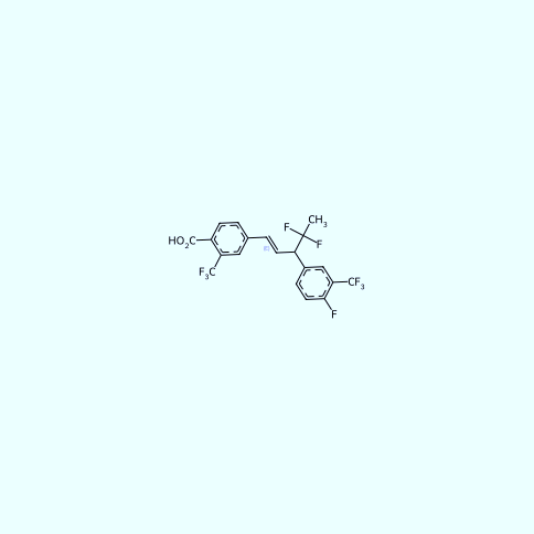 CC(F)(F)C(/C=C/c1ccc(C(=O)O)c(C(F)(F)F)c1)c1ccc(F)c(C(F)(F)F)c1